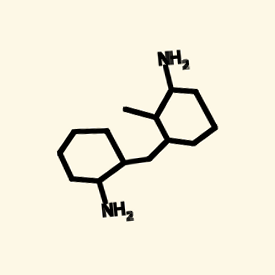 CC1C(N)CCCC1CC1CCCCC1N